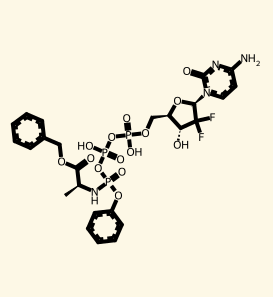 C[C@H](NP(=O)(Oc1ccccc1)OP(=O)(O)OP(=O)(O)OC[C@H]1O[C@@H](n2ccc(N)nc2=O)C(F)(F)[C@@H]1O)C(=O)OCc1ccccc1